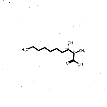 CCCCCCC[C@H](O)[C@@H](C)C(=O)O